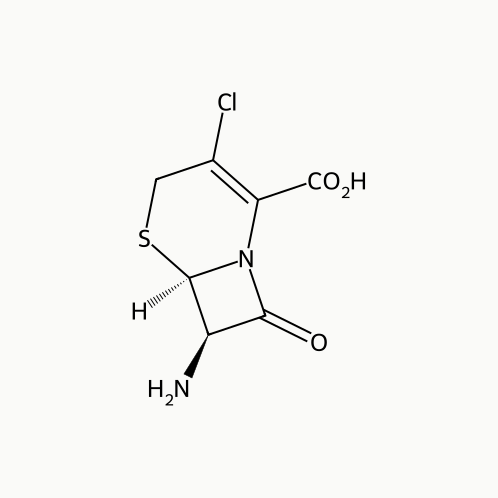 N[C@@H]1C(=O)N2C(C(=O)O)=C(Cl)CS[C@H]12